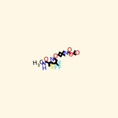 CNC(=O)c1csc2c(C(F)(F)F)cc(OC3CC4(C3)CN(C(=O)OC3COC3)C4)nc12